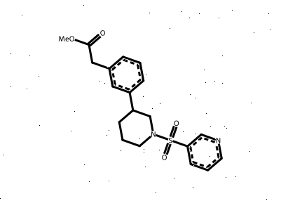 COC(=O)Cc1cccc(C2CCCN(S(=O)(=O)c3cccnc3)C2)c1